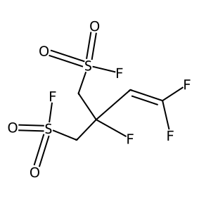 O=S(=O)(F)CC(F)(C=C(F)F)CS(=O)(=O)F